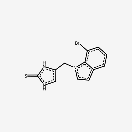 S=c1[nH]cc(Cn2ccc3cccc(Br)c32)[nH]1